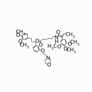 CC[C@H](C(=O)NCCCCCC(=O)OC(CCc1ccc(OC)c(OC)c1)c1cccc(OCCN2CCOCC2)c1)c1cc(OC)c(OC)c(OC)c1